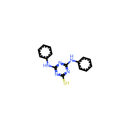 Sc1nc(Nc2ccccc2)nc(Nc2ccccc2)n1